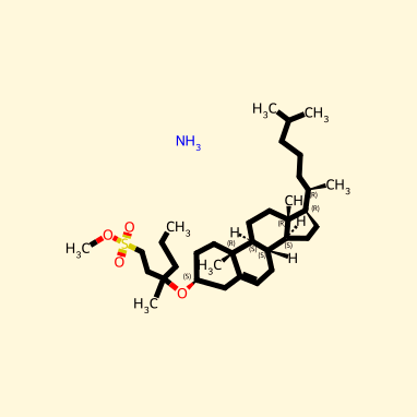 CCCC(C)(CCS(=O)(=O)OC)O[C@H]1CC[C@@]2(C)C(=CC[C@H]3[C@@H]4CC[C@H]([C@H](C)CCCC(C)C)[C@@]4(C)CC[C@@H]32)C1.N